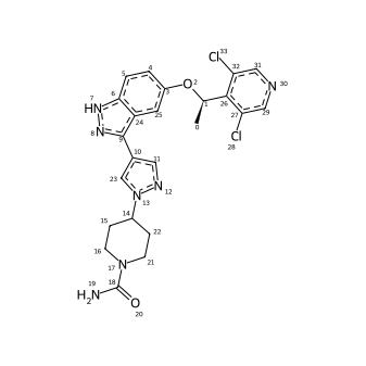 C[C@@H](Oc1ccc2[nH]nc(-c3cnn(C4CCN(C(N)=O)CC4)c3)c2c1)c1c(Cl)cncc1Cl